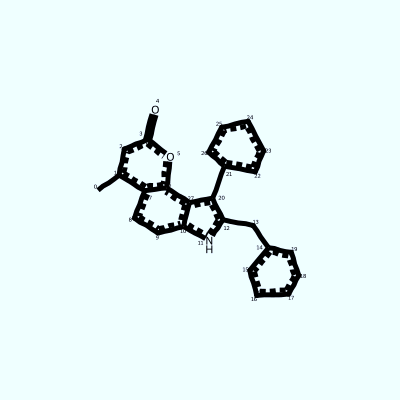 Cc1cc(=O)oc2c1ccc1[nH]c(Cc3ccccc3)c(-c3ccccc3)c12